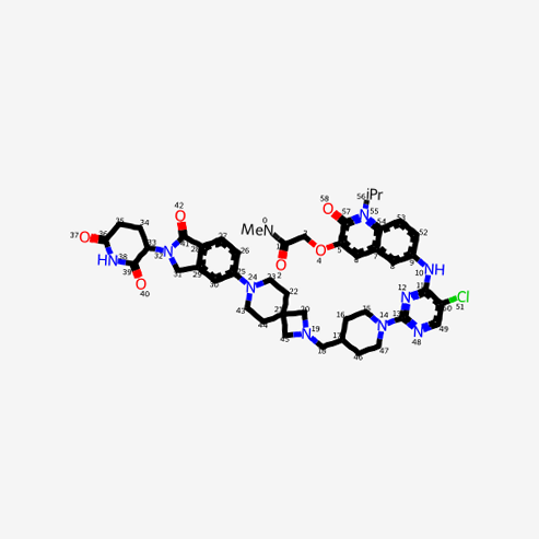 CNC(=O)COc1cc2cc(Nc3nc(N4CCC(CN5CC6(CCN(c7ccc8c(c7)CN(C7CCC(=O)NC7=O)C8=O)CC6)C5)CC4)ncc3Cl)ccc2n(C(C)C)c1=O